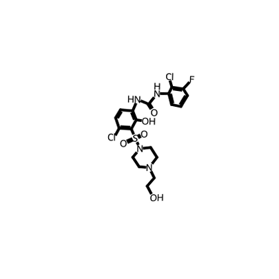 O=C(Nc1ccc(Cl)c(S(=O)(=O)N2CCN(CCO)CC2)c1O)Nc1cccc(F)c1Cl